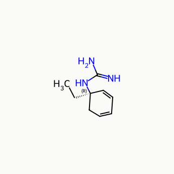 CC[C@]1(NC(=N)N)C=CC=CC1